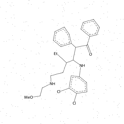 CCC(CCNCCOC)C(Nc1ccc(Cl)c(Cl)c1)C(C(=O)c1ccccc1)c1ccccc1